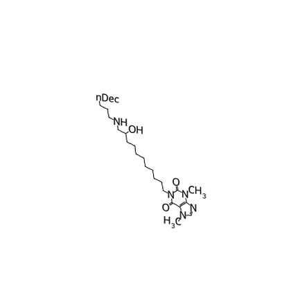 CCCCCCCCCCCCCNCC(O)CCCCCCCCCn1c(=O)c2c(ncn2C)n(C)c1=O